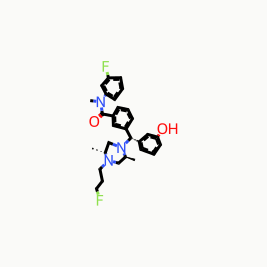 C[C@@H]1CN([C@@H](c2cccc(O)c2)c2cccc(C(=O)N(C)c3cccc(F)c3)c2)[C@@H](C)CN1CCCF